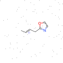 C/C=C/Cc1ncco1